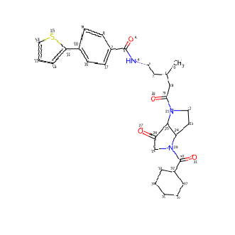 CC(CCNC(=O)c1ccc(-c2cccs2)cc1)CC(=O)N1CCC2C1C(=O)CN2C(=O)C1CCCCC1